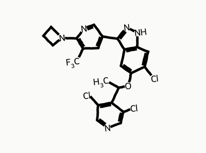 CC(Oc1cc2c(-c3cnc(N4CCC4)c(C(F)(F)F)c3)n[nH]c2cc1Cl)c1c(Cl)cncc1Cl